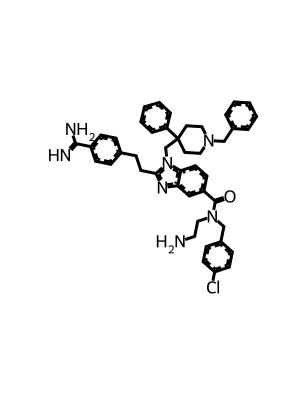 N=C(N)c1ccc(CCc2nc3cc(C(=O)N(CCN)Cc4ccc(Cl)cc4)ccc3n2CC2(c3ccccc3)CCN(Cc3ccccc3)CC2)cc1